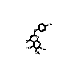 Cc1c(O)cc2oc(Oc3ccc(O)cc3)cc(=O)c2c1O